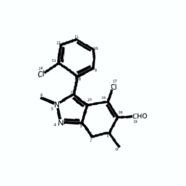 CC1Cc2nn(C)c(-c3ccccc3Cl)c2C(Cl)=C1C=O